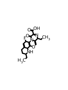 CCC1CCC2=CC(F)C3=C(OC=C4C(CC)N=C(C(=O)O)C(=O)N43)C2N1